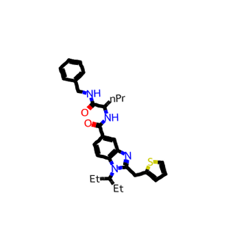 CCCC(NC(=O)c1ccc2c(c1)nc(Cc1cccs1)n2C(CC)CC)C(=O)NCc1ccccc1